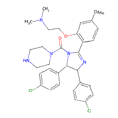 COc1ccc(C2=NC(c3ccc(Cl)cc3)C(c3ccc(Cl)cc3)N2C(=O)N2CCNCC2)c(OCCN(C)C)c1